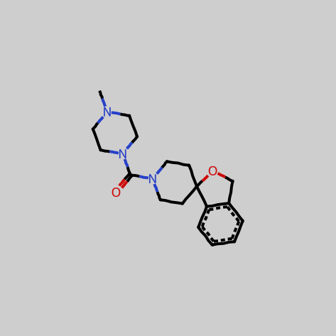 CN1CCN(C(=O)N2CCC3(CC2)OCc2ccccc23)CC1